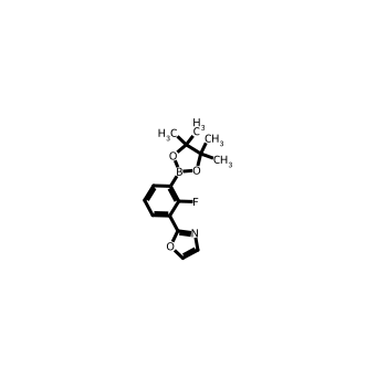 CC1(C)OB(c2cccc(-c3ncco3)c2F)OC1(C)C